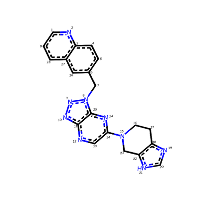 c1cnc2ccc(Cn3nnc4ncc(N5CCc6nc[nH]c6C5)nc43)cc2c1